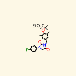 CCOC(=O)C(C)(C)Oc1c(C)cc(CN2C(=O)CN(c3ccc(F)cc3)C2=O)cc1C